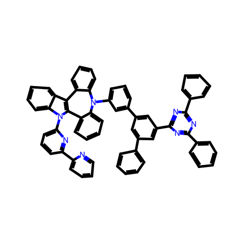 c1ccc(-c2cc(-c3cccc(N4c5ccccc5-c5c(n(-c6cccc(-c7ccccn7)n6)c6ccccc56)-c5ccccc54)c3)cc(-c3nc(-c4ccccc4)nc(-c4ccccc4)n3)c2)cc1